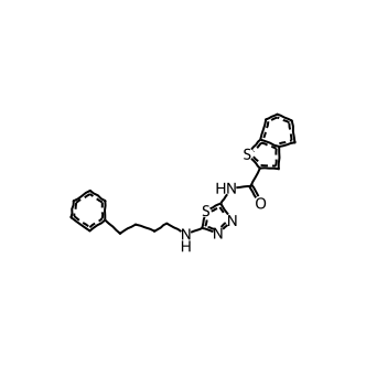 O=C(Nc1nnc(NCCCCc2ccccc2)s1)c1cc2ccccc2s1